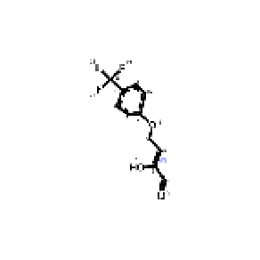 O=C/C(O)=C/COc1ccc(C(F)(F)F)cc1